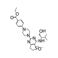 CCOC(=O)c1ccc(N2CCN(c3nc4c(c(N[C@@H](CO)C(C)C)n3)[S+]([O-])CC4)CC2)cc1